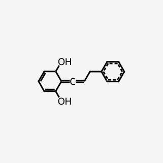 OC1=CC=CC(O)C1=C=CCc1ccccc1